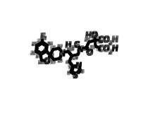 CN(CC(Cc1cscn1)CN1CCC2(CC1)OCc1ccc(F)cc12)C(=O)CC(O)(CC(=O)O)C(=O)O